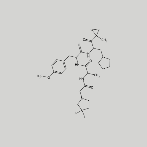 COc1ccc(CC(NC(=O)C(C)NC(=O)CN2CCC(F)(F)C2)C(=O)NC(CC2CCCC2)C(=O)C2(C)CO2)cc1